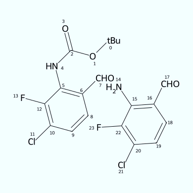 CC(C)(C)OC(=O)Nc1c(C=O)ccc(Cl)c1F.Nc1c(C=O)ccc(Cl)c1F